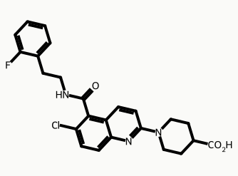 O=C(NCCc1ccccc1F)c1c(Cl)ccc2nc(N3CCC(C(=O)O)CC3)ccc12